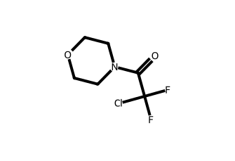 O=C(N1CCOCC1)C(F)(F)Cl